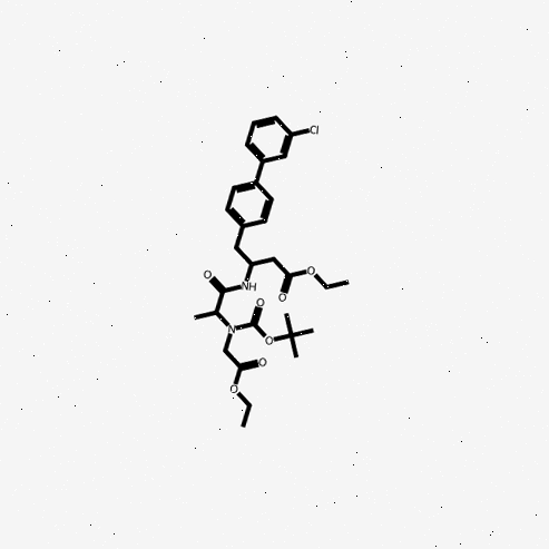 CCOC(=O)CC(Cc1ccc(-c2cccc(Cl)c2)cc1)NC(=O)C(C)N(CC(=O)OCC)C(=O)OC(C)(C)C